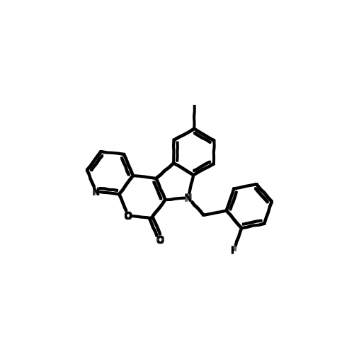 Cc1ccc2c(c1)c1c3cccnc3oc(=O)c1n2Cc1ccccc1F